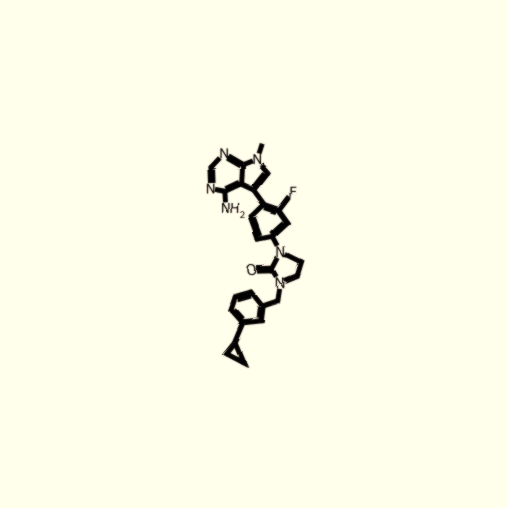 Cn1cc(-c2ccc(N3CCN(Cc4cccc(C5CC5)c4)C3=O)cc2F)c2c(N)ncnc21